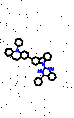 C1=Cc2cc(-c3ccc4c(c3)c3ccccc3n4C3Nc4ccccc4C(c4ccccc4)N3)ccc2N(c2ccccc2)c2ccccc21